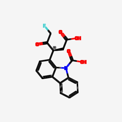 O=C(O)C[C@H](C(=O)CF)c1cccc2c3ccccc3n(C(=O)O)c12